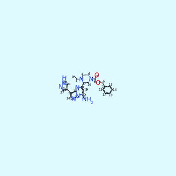 CCN1CCN(C(=O)OCc2ccccc2)CC1c1cc(N)n2ncc(-c3cn[nH]c3)c2n1